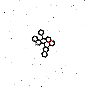 c1ccc(-c2cc3ccccc3cc2-c2c3ccccc3c(-c3ccccc3)c3c2cnc2ccccc23)cc1